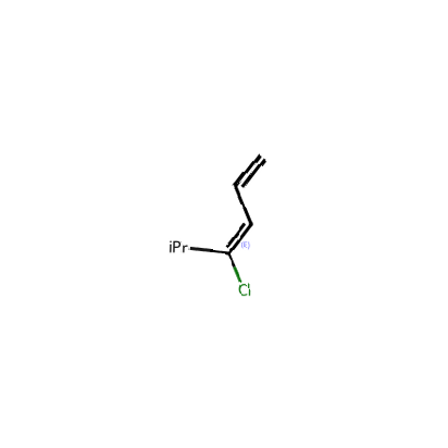 C=C/C=C(/Cl)C(C)C